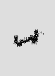 Cc1ncsc1-c1ccc(CNC(=O)[C@@H]2C[C@@H](O)CN2C(=O)[C@@H](NC(=O)COCCOc2cccc(-c3cc(Nc4ccc(OC(F)(F)F)cc4)ncn3)c2)C(C)(C)C)cc1